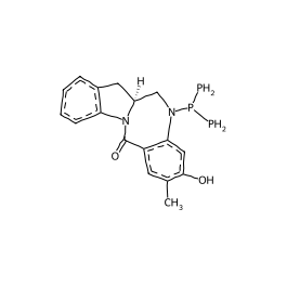 Cc1cc2c(cc1O)N(P(P)P)C[C@@H]1Cc3ccccc3N1C2=O